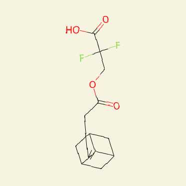 O=C(CC1=C2C3CC(C1)CC2C3)OCC(F)(F)C(=O)O